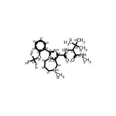 CNC(=O)C(NC(=O)c1nc(-c2ccccc2OC(F)(F)F)n2c1CN(C)CCC2)C(C)(C)C